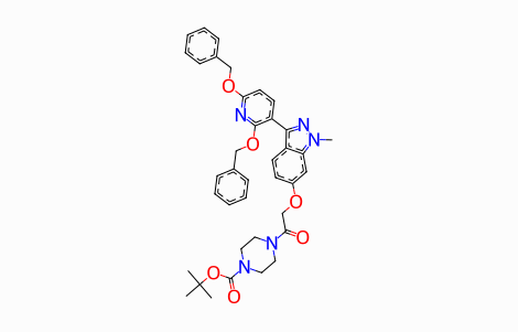 Cn1nc(-c2ccc(OCc3ccccc3)nc2OCc2ccccc2)c2ccc(OCC(=O)N3CCN(C(=O)OC(C)(C)C)CC3)cc21